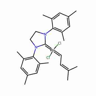 CC(C)=C[CH]=[Ru]([Cl])([Cl])=[C]1N(c2c(C)cc(C)cc2C)CCN1c1c(C)cc(C)cc1C